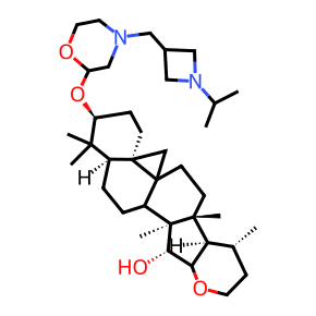 CC(C)N1CC(CN2CCOC(O[C@H]3CC[C@]45CC46CC[C@]4(C)[C@@H]7C(OCC[C@H]7C)[C@H](O)[C@@]4(C)C6CC[C@H]5C3(C)C)C2)C1